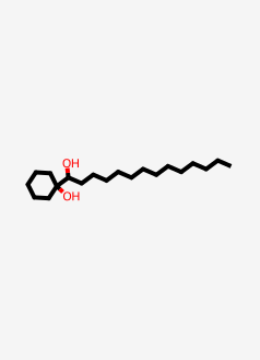 CCCCCCCCCCCCCC(O)C1(O)CCCCC1